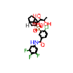 CC(O)C(O)C[C@@]1(O)C2CC[C@H]1C[C@H](S(=O)(=O)c1cc(C(=O)Nc3cc(F)c(F)c(F)c3)ccc1Cl)C2